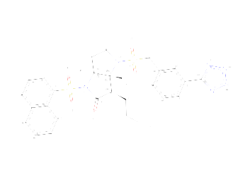 CCC[C@H]1C(=O)N(S(=O)(=O)c2cccc3ccccc23)[C@H]2CCN(S(=O)(=O)Cc3cccc(-c4nnn[nH]4)c3)[C@H]12